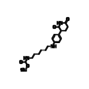 CC(C)(C)OC(=O)NCCCCCCNc1ccc(C2CCC(=O)NC2=O)cc1